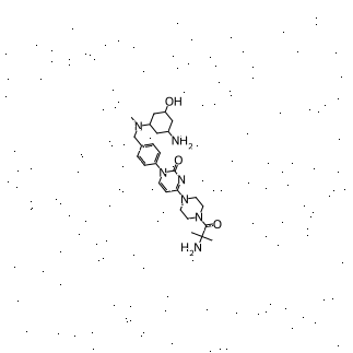 CN(Cc1ccc(-n2ccc(N3CCN(C(=O)C(C)(C)N)CC3)nc2=O)cc1)C1CC(N)CC(O)C1